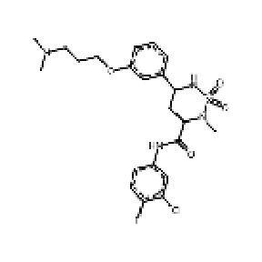 CN(C)CCCOc1cccc(C2CC(C(=O)Nc3ccc(F)c(Cl)c3)N(C)S(=O)(=O)N2)c1